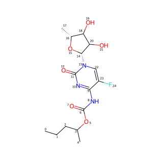 CCCC(C)OC(=O)Nc1nc(=O)n([C@@H]2O[C@H](C)C(O)C2O)cc1F